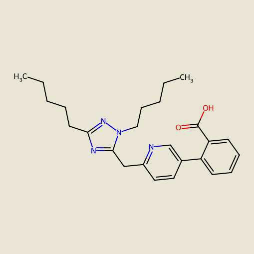 CCCCCc1nc(Cc2ccc(-c3ccccc3C(=O)O)cn2)n(CCCCC)n1